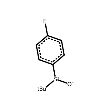 CC(C)(C)[S+]([O-])c1ccc(F)cc1